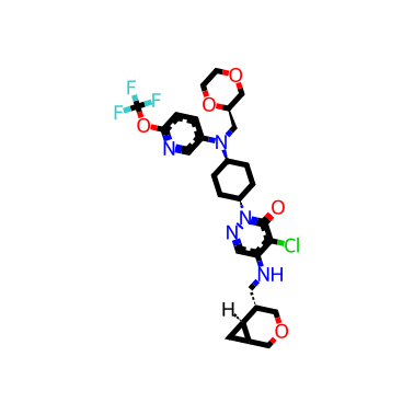 O=c1c(Cl)c(NC[C@@H]2COCC3C[C@H]32)cnn1[C@H]1CC[C@H](N(C[C@@H]2COCCO2)c2ccc(OC(F)(F)F)nc2)CC1